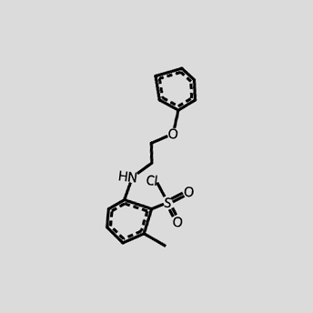 Cc1cccc(NCCOc2ccccc2)c1S(=O)(=O)Cl